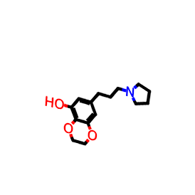 Oc1cc(CCCN2CCCC2)cc2c1OCCO2